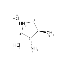 C[C@@H]1CNC[C@H]1N.Cl.Cl